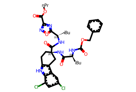 CCCOC(=O)c1noc([C@@H](NC(=O)[C@@]2(NC(=O)[C@@H](NC(=O)OCc3ccccc3)C(C)CC)CCc3[nH]c4c(Cl)cc(Cl)cc4c3C2)C(C)CC)n1